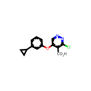 O=C(O)c1c(Oc2cccc(C3CC3)c2)cnnc1Cl